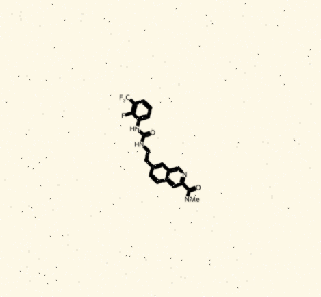 CNC(=O)c1cc2ccc(CCNC(=O)Nc3cccc(C(F)(F)F)c3F)cc2cn1